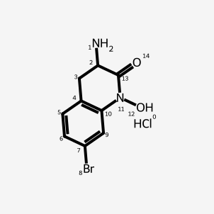 Cl.NC1Cc2ccc(Br)cc2N(O)C1=O